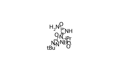 CC(C)CN(C(=O)c1cnc(C(C)(C)C)nc1NCc1ccco1)[C@H]1CNC[C@@H](C(N)=O)C1